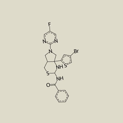 O=C(NC1NC2(c3cc(Br)cs3)CN(c3ncc(F)cn3)CC2CS1)c1ccccc1